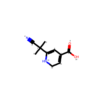 CC(C)(C#N)C1=CC(C(=O)O)=CCN1